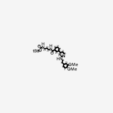 COc1ccc(CCNc2nccc(-c3cccc(C(=O)NCCCNC(=O)OC(C)(C)C)c3)n2)cc1OC